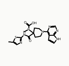 Cc1cnc(NC(=O)C2(N(C)C(=O)O)CCN(c3ncnc4[nH]ccc34)CC2)s1